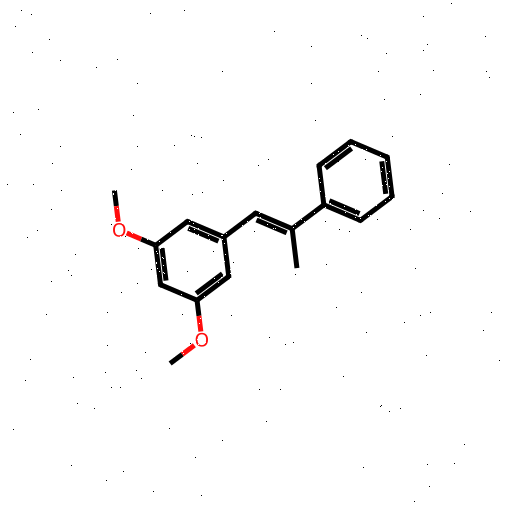 COc1cc(/C=C(\C)c2ccccc2)cc(OC)c1